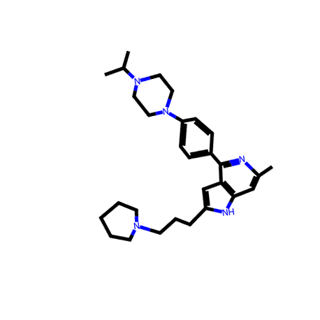 Cc1cc2[nH]c(CCCN3CCCCC3)cc2c(-c2ccc(N3CCN(C(C)C)CC3)cc2)n1